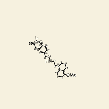 COc1cccc2c1CCCC2CCNCCc1ccc2c(c1)CC(=O)NO2